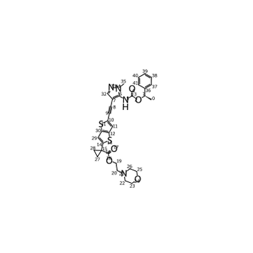 C[C@@H](OC(=O)Nc1c(C#Cc2cc3sc(C4(C(=O)OCCN5CCOCC5)CC4)cc3s2)cnn1C)c1ccccc1